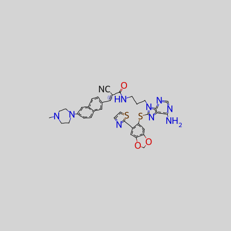 CN1CCN(c2ccc3cc(/C=C(\C#N)C(=O)NCCCn4c(Sc5cc6c(cc5-c5nccs5)OCO6)nc5c(N)ncnc54)ccc3c2)CC1